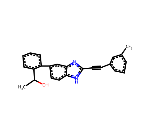 CC(O)c1ccccc1-c1ccc2[nH]c(C#Cc3cccc(C(F)(F)F)c3)nc2c1